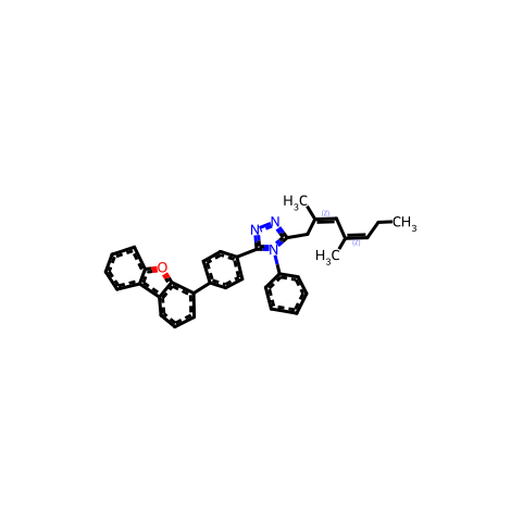 CC/C=C(C)\C=C(\C)Cc1nnc(-c2ccc(-c3cccc4c3oc3ccccc34)cc2)n1-c1ccccc1